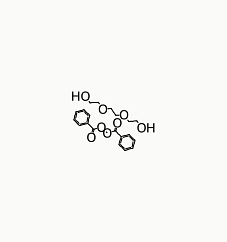 O=C(OOC(=O)c1ccccc1)c1ccccc1.OCCOCCOCCO